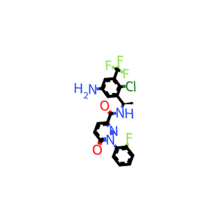 C[C@@H](NC(=O)c1ccc(=O)n(-c2ccccc2F)n1)c1cc(N)cc(C(F)(F)F)c1Cl